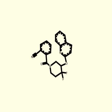 N#Cc1ccccc1C(=O)N1CCC(F)(F)C(Oc2ccc3ccccc3n2)C1